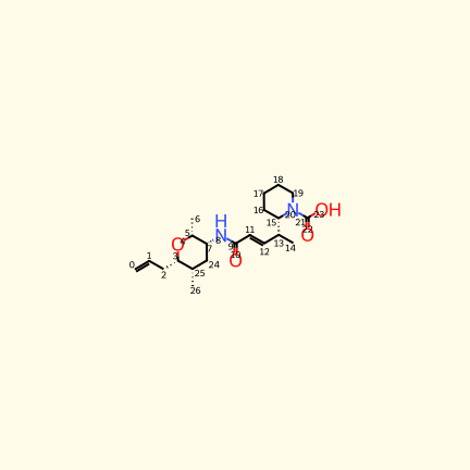 C=CC[C@@H]1O[C@H](C)[C@H](NC(=O)/C=C/C(C)[C@@H]2CCCCN2C(=O)O)C[C@@H]1C